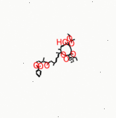 CCOC(C)OC1(C)CCC(O[Si](CC)(CC)CC)CC(=O)OC(/C(C)=C/C=C/C(C)CC2OC2C(C)C(CC)OC(=O)c2ccccc2)C(C)/C=C/C1O